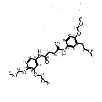 COCCc1cc(NC(=O)CCC(=O)Nc2ccc(OCOC)c(OCOC)c2)ccc1OCOC